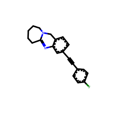 Fc1ccc(C#Cc2ccc3c(c2)N=C2CCCCCN2C3)cc1